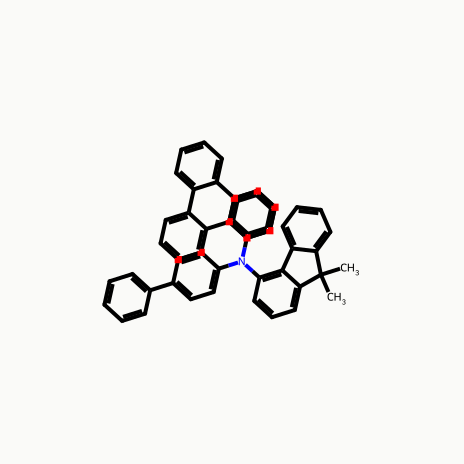 CC1(C)c2ccccc2-c2c(N(c3ccc(-c4ccccc4)cc3)c3ccccc3-c3ccccc3-c3ccccc3-c3ccccc3)cccc21